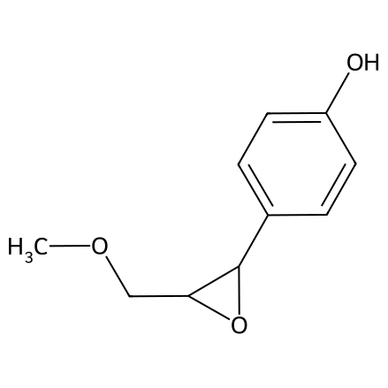 COCC1OC1c1ccc(O)cc1